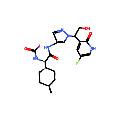 C[C@H]1CC[C@H]([C@H](NC(=O)I)C(=O)Nc2cnn(C(CO)c3cc(F)c[nH]c3=O)c2)CC1